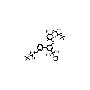 CC[C@@H](Oc1nc(Oc2cc(-c3cccc(CNC(=O)OC(C)(C)C)c3)cc(C(O)(O)N3CCCS3)c2)c(F)cc1F)C(=O)OC(C)(C)C